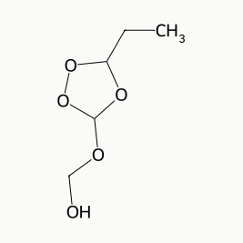 CCC1OOC(OCO)O1